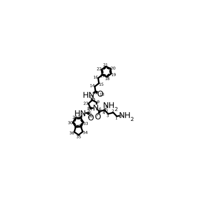 NCCC[C@@H](N)C(=O)N1C[C@@H](NC(=O)CCCc2ccccc2)C[C@H]1C(=O)Nc1ccc2c(c1)CCC2